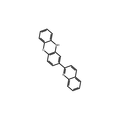 [c]1c(-c2ccc3ccccc3n2)ccc2c1Nc1ccccc1O2